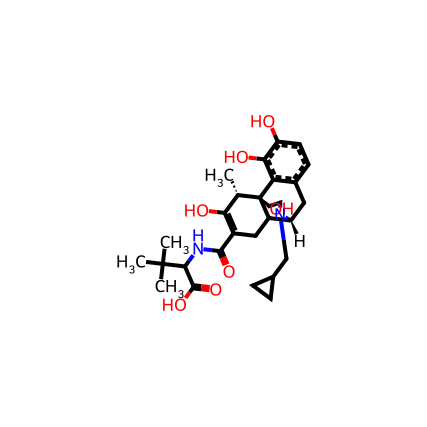 C[C@H]1C(O)=C(C(=O)NC(C(=O)O)C(C)(C)C)C[C@@]2(O)[C@H]3Cc4ccc(O)c(O)c4[C@@]12CCN3CC1CC1